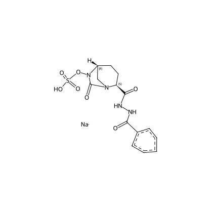 O=C(NNC(=O)[C@@H]1CC[C@@H]2CN1C(=O)N2OS(=O)(=O)O)c1ccccc1.[Na]